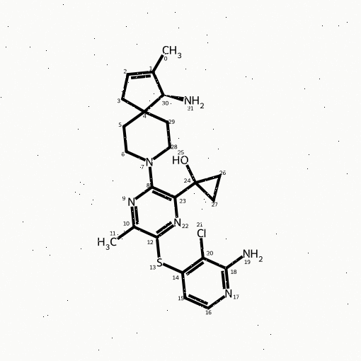 CC1=CCC2(CCN(c3nc(C)c(Sc4ccnc(N)c4Cl)nc3C3(O)CC3)CC2)[C@@H]1N